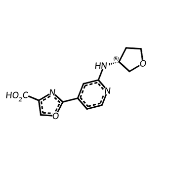 O=C(O)c1coc(-c2ccnc(N[C@@H]3CCOC3)c2)n1